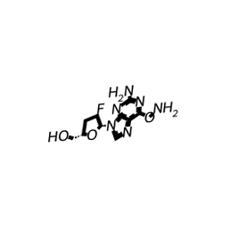 NOc1nc(N)nc2c1ncn2[C@@H]1O[C@H](CO)C[C@H]1F